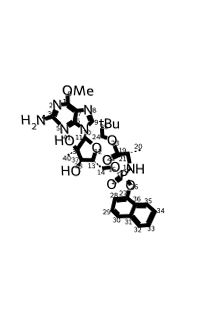 COc1nc(N)nc2c1ncn2[C@@H]1O[C@H](CO[P@](=O)(N[C@@H](C)C(=O)OCC(C)(C)C)Oc2cccc3ccccc23)[C@@H](O)[C@@]1(C)O